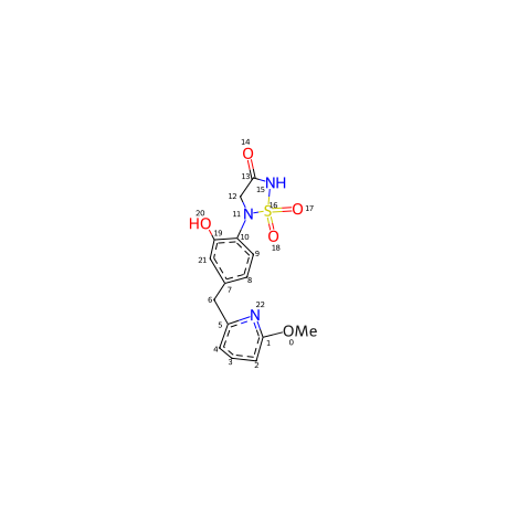 COc1cccc(Cc2ccc(N3CC(=O)NS3(=O)=O)c(O)c2)n1